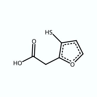 O=C(O)Cc1occc1S